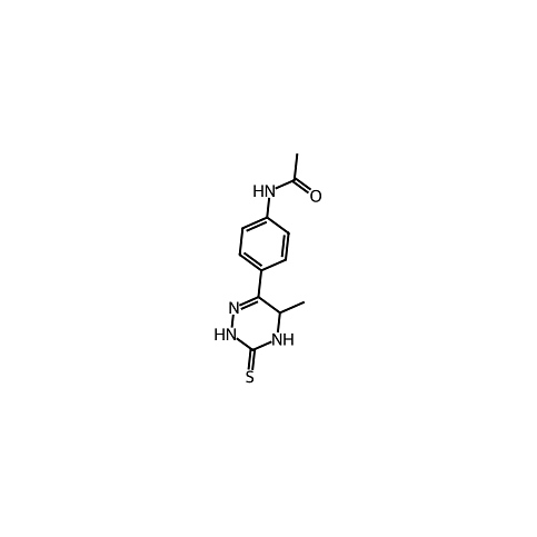 CC(=O)Nc1ccc(C2=NNC(=S)NC2C)cc1